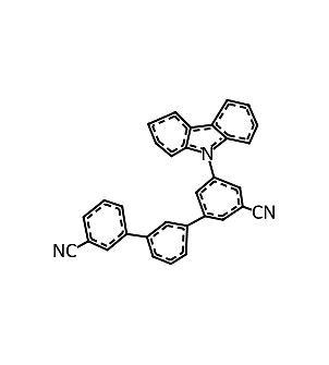 N#Cc1cccc(-c2cccc(-c3cc(C#N)cc(-n4c5ccccc5c5ccccc54)c3)c2)c1